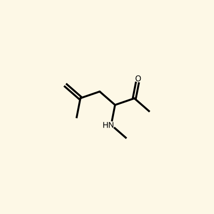 C=C(C)CC(NC)C(C)=O